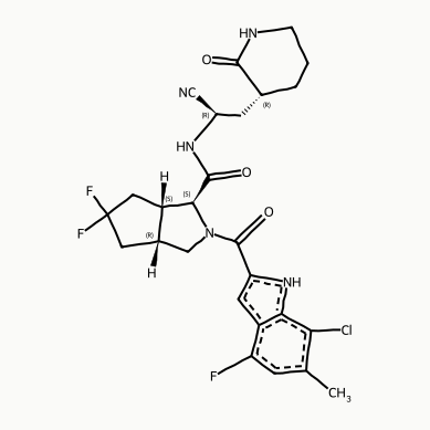 Cc1cc(F)c2cc(C(=O)N3C[C@@H]4CC(F)(F)C[C@@H]4[C@H]3C(=O)N[C@@H](C#N)C[C@H]3CCCNC3=O)[nH]c2c1Cl